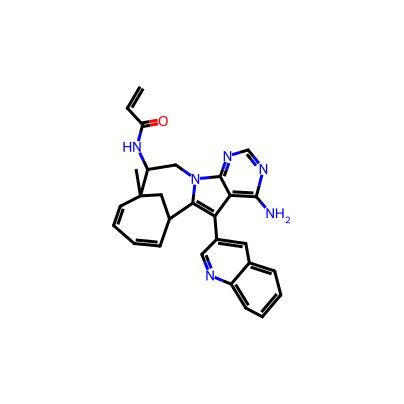 C=CC(=O)NC1Cn2c(c(-c3cnc4ccccc4c3)c3c(N)ncnc32)C2C=CC=CC1(C)C2